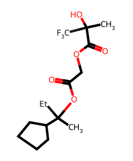 CCC(C)(OC(=O)COC(=O)C(C)(O)C(F)(F)F)C1CCCC1